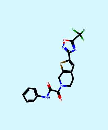 O=C(Nc1ccccc1)C(=O)N1CCc2cc(-c3noc(C(F)(F)F)n3)sc2C1